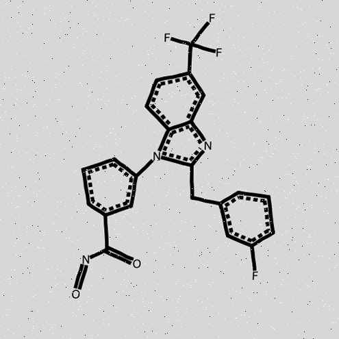 O=NC(=O)c1cccc(-n2c(Cc3cccc(F)c3)nc3cc(C(F)(F)F)ccc32)c1